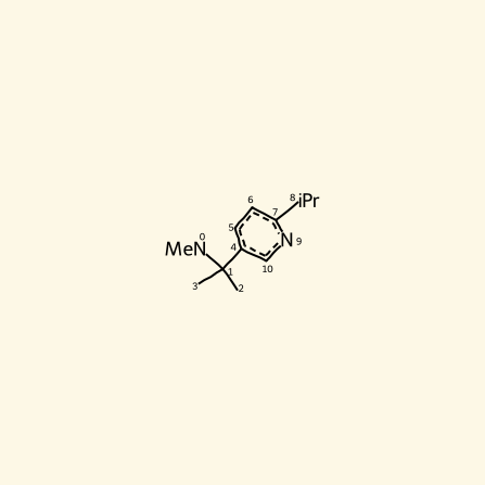 CNC(C)(C)c1ccc(C(C)C)nc1